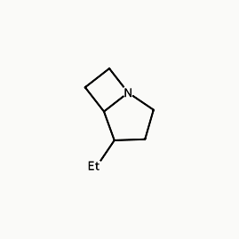 CCC1CCN2CCC12